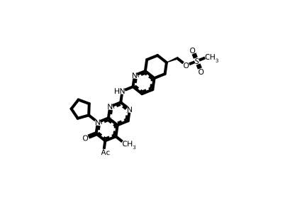 CC(=O)c1c(C)c2cnc(Nc3ccc4c(n3)CC[C@@H](COS(C)(=O)=O)C4)nc2n(C2CCCC2)c1=O